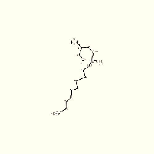 CCCCCCCCCCCCCCCCCCOC1(C)OCC(N)CO1